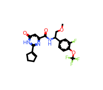 COCC(NC(=O)c1cc(=O)[nH]c(C2=CCCC2)n1)c1ccc(OC(F)(F)F)c(F)c1